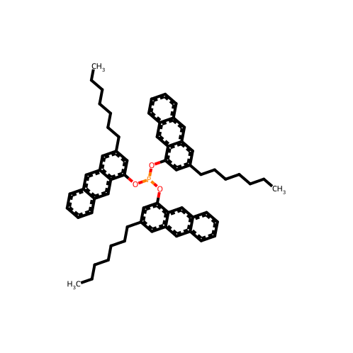 CCCCCCCc1cc(OP(Oc2cc(CCCCCCC)cc3cc4ccccc4cc23)Oc2cc(CCCCCCC)cc3cc4ccccc4cc23)c2cc3ccccc3cc2c1